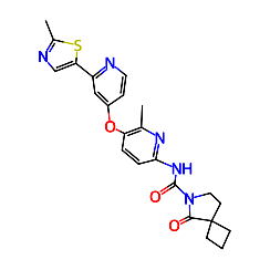 Cc1ncc(-c2cc(Oc3ccc(NC(=O)N4CCC5(CCC5)C4=O)nc3C)ccn2)s1